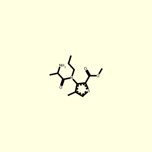 CCCN(C(=O)C(C)N)c1c(C)csc1C(=O)OC